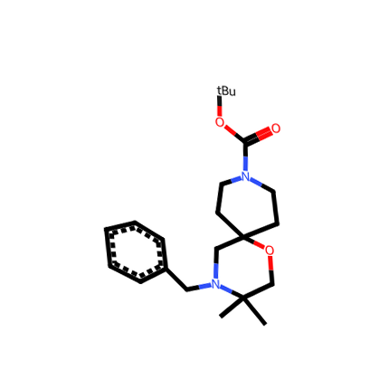 CC(C)(C)OC(=O)N1CCC2(CC1)CN(Cc1ccccc1)C(C)(C)CO2